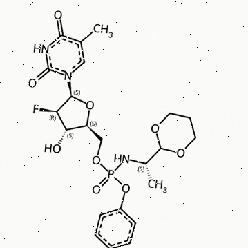 Cc1cn([C@H]2O[C@@H](COP(=O)(N[C@@H](C)C3OCCCO3)Oc3ccccc3)[C@H](O)[C@H]2F)c(=O)[nH]c1=O